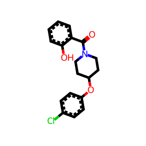 O=C(c1ccccc1O)N1CCC(Oc2ccc(Cl)cc2)CC1